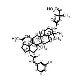 C=C(C)[C@@H]1CC[C@]2(CC(=O)Nc3cccc(F)c3)CC[C@]3(C)[C@H](CC[C@@H]4[C@@]5(C)CC[C@H](OC(=O)CC(C)(C)CC(=O)O)C(C)(C)[C@@H]5CC[C@]43C)[C@@H]12